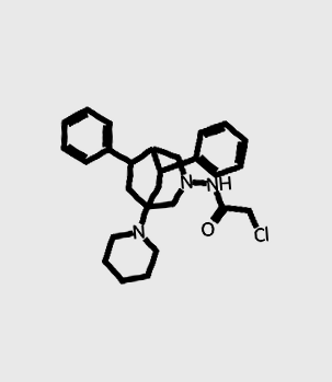 O=C(CCl)NN1CC2C(c3ccccc3)CC(N3CCCCC3)(CC2c2ccccc2)C1